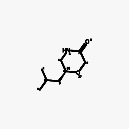 CC(C)C[C@H]1CNC(=O)CO1